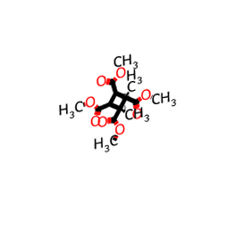 COC(=O)C1C(C(=O)OC)[C@@](C)(C(=O)OC)[C@]1(C)C(=O)OC